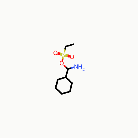 CCS(=O)(=O)OC(N)C1CCCCC1